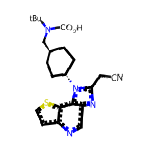 CC(C)(C)N(C[C@H]1CC[C@H](n2c(CC#N)nc3cnc4ccsc4c32)CC1)C(=O)O